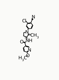 COc1ccc(C(=O)N[C@H]2CCN(c3ccc(C#N)c(Cl)c3)[C@H]2C)cn1